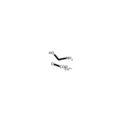 NCO.O=C([O-])[O-].[Cu+2]